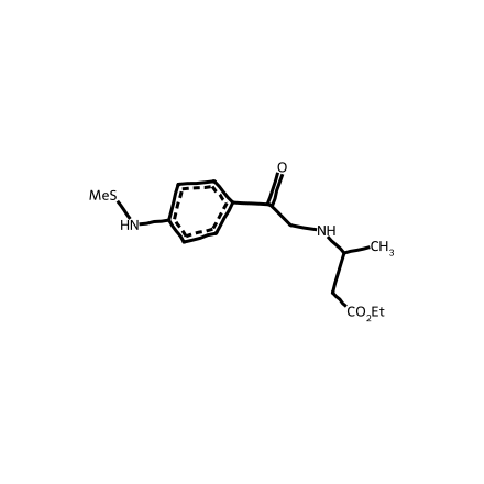 CCOC(=O)CC(C)NCC(=O)c1ccc(NSC)cc1